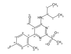 CCC(CC)Nc1nc(S(C)(=O)=O)nc(-c2ccc(F)cc2C)c1C=O